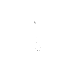 CCOCCC/C(O)=C/c1c(N)c2ccccc2oc1=O